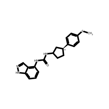 CSc1ccc([C@H]2CCC(NC(=O)Nc3cccc4[nH]ncc34)C2)cc1